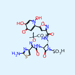 CC(C)(ON=C(C(=O)N[C@@H]1C(=O)N(S(=O)(=O)O)[C@H]1CNC(=O)c1cc(-c2cc(=O)c(O)cn2O)on1)c1csc(N)n1)C(=O)O